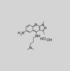 Cc1nn(C)c2nc3ccc(N)cc3c(NCCCN(C)C)c12.Cl.Cl